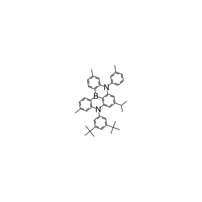 Cc1cccc(N2c3cc(C)ccc3B3c4ccc(C)cc4N(c4cc(C(C)(C)C)cc(C(C)(C)C)c4)c4cc(C(C)C)cc2c43)c1